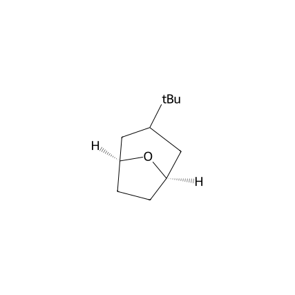 CC(C)(C)C1C[C@H]2CC[C@@H](C1)O2